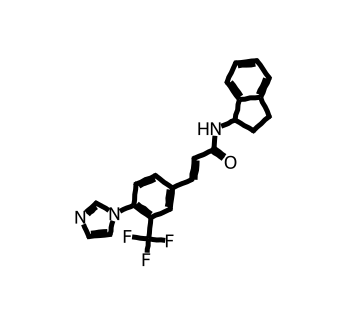 O=C(C=Cc1ccc(-n2ccnc2)c(C(F)(F)F)c1)NC1CCc2ccccc21